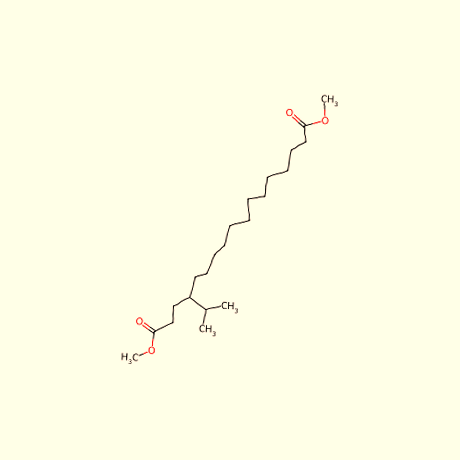 COC(=O)CCCCCCCCCCCCC(CCC(=O)OC)C(C)C